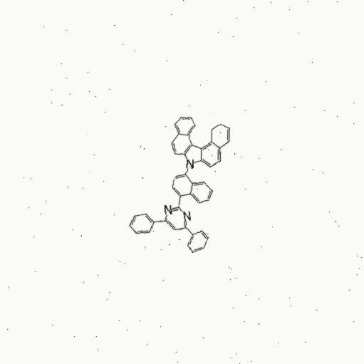 C1=Cc2ccc3c(c2CC1)c1c2ccccc2ccc1n3-c1ccc(-c2nc(-c3ccccc3)cc(-c3ccccc3)n2)c2ccccc12